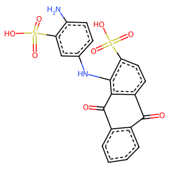 Nc1ccc(Nc2c(S(=O)(=O)O)ccc3c2C(=O)c2ccccc2C3=O)cc1S(=O)(=O)O